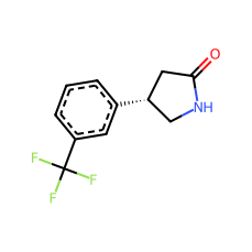 O=C1C[C@@H](c2cccc(C(F)(F)F)c2)CN1